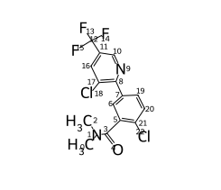 CN(C)C(=O)c1cc(-c2ncc(C(F)(F)F)cc2Cl)ccc1Cl